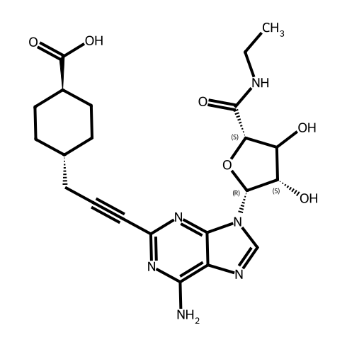 CCNC(=O)[C@H]1O[C@@H](n2cnc3c(N)nc(C#CC[C@H]4CC[C@H](C(=O)O)CC4)nc32)[C@@H](O)C1O